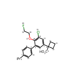 CC(C)c1ccc(-c2cc(C3(C(=O)O)CCC3)cc(Cl)c2OCCF)cc1